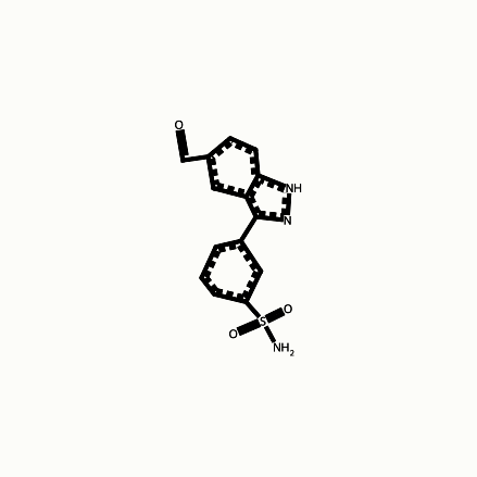 NS(=O)(=O)c1cccc(-c2n[nH]c3ccc(C=O)cc23)c1